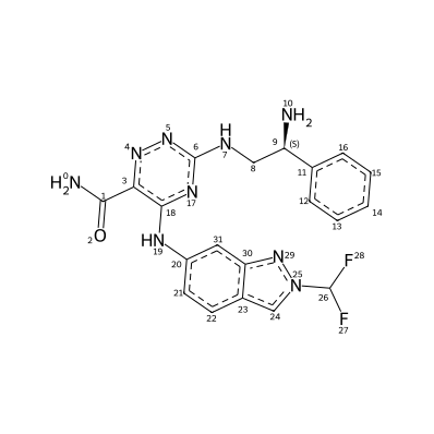 NC(=O)c1nnc(NC[C@@H](N)c2ccccc2)nc1Nc1ccc2cn(C(F)F)nc2c1